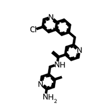 C=C(NCc1cnc(N)cc1C)c1ccnc(Cc2ccc3ncc(Cl)cc3c2)c1